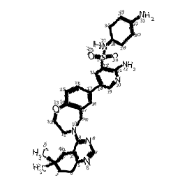 CC1(C)CCc2ncnc(N3CCOc4ccc(-c5cnc(N)c(S(=O)(=O)NC6CCC(N)CC6)c5)cc4C3)c2C1